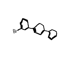 BrC1=CCCC(C2=CC=C(C3=CC=CCC3)CC2)=C1